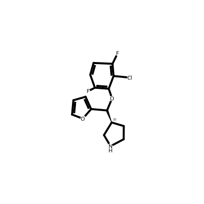 Fc1ccc(F)c(OC(c2ccco2)[C@H]2CCNC2)c1Cl